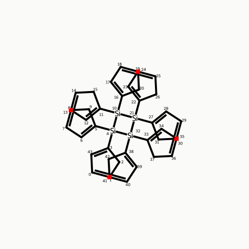 C1=CCC([Si]2(C3=CC=CC3)[Si](C3=CC=CC3)(C3=CC=CC3)[Si](C3=CC=CC3)(C3=CC=CC3)[Si]2(C2=CC=CC2)C2=CC=CC2)=C1